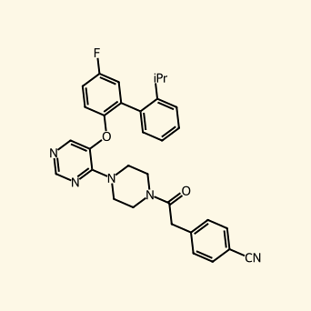 CC(C)c1ccccc1-c1cc(F)ccc1Oc1cncnc1N1CCN(C(=O)Cc2ccc(C#N)cc2)CC1